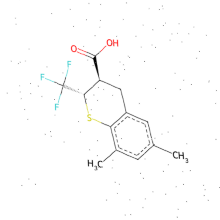 Cc1cc(C)c2c(c1)C[C@H](C(=O)O)[C@@H](C(F)(F)F)S2